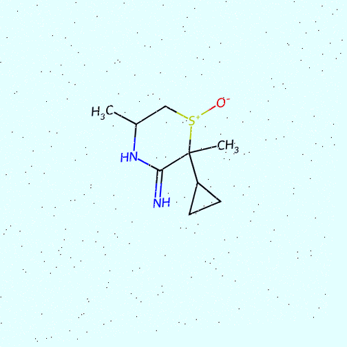 CC1C[S+]([O-])C(C)(C2CC2)C(=N)N1